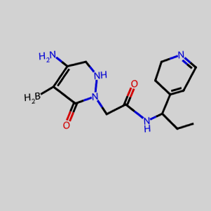 BC1=C(N)CNN(CC(=O)NC(CC)C2=CC=NCC2)C1=O